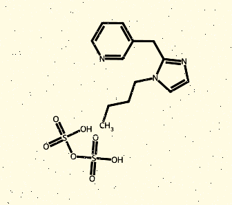 CCCCn1ccnc1Cc1cccnc1.O=S(=O)(O)OS(=O)(=O)O